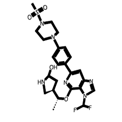 C[C@@H](Oc1nc(-c2ccc(N3CCN(S(C)(=O)=O)CC3)cc2)cc2ncn(C(F)F)c12)[C@H]1CNC(O)C1